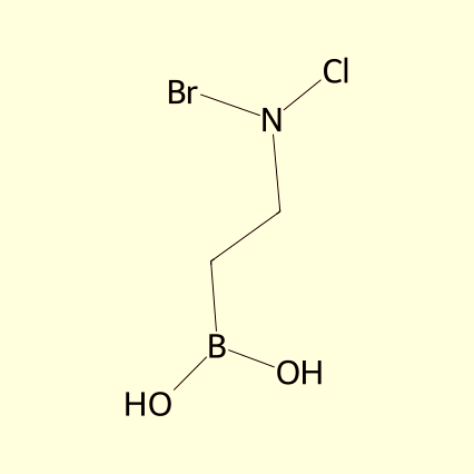 OB(O)CCN(Cl)Br